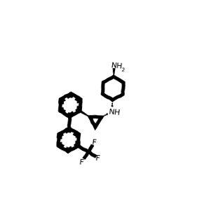 N[C@H]1CC[C@H](N[C@@H]2C[C@H]2c2ccccc2-c2cccc(C(F)(F)F)c2)CC1